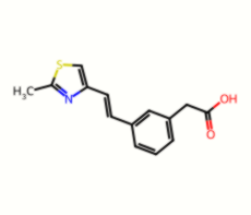 Cc1nc(C=Cc2cccc(CC(=O)O)c2)cs1